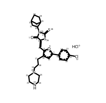 Cl.O=C1/C(=C/c2oc(-c3ccc(Cl)cc3)cc2CCCN2CCNCC2)SC(=S)N1C1CC2CCC1C2